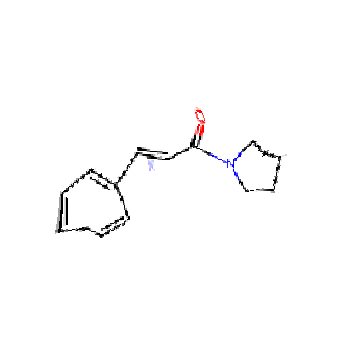 O=C(/C=C/c1ccccc1)N1C[CH]CC1